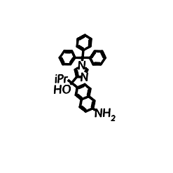 CC(C)C(O)(c1ccc2cc(N)ccc2c1)c1cn(C(c2ccccc2)(c2ccccc2)c2ccccc2)cn1